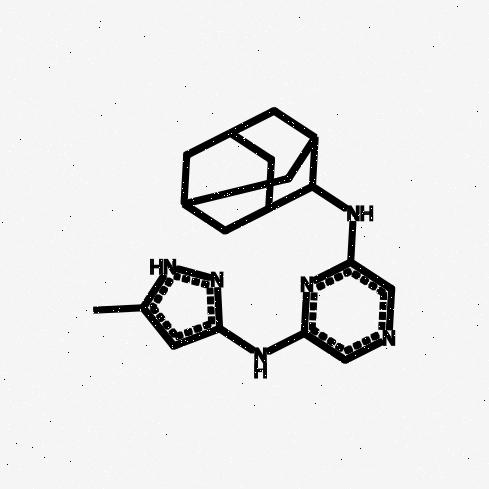 Cc1cc(Nc2cncc(NC3C4CC5CC(C4)CC3C5)n2)n[nH]1